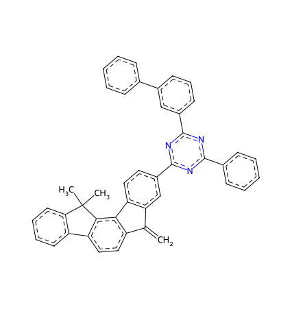 C=C1c2cc(-c3nc(-c4ccccc4)nc(-c4cccc(-c5ccccc5)c4)n3)ccc2-c2c1ccc1c2C(C)(C)c2ccccc2-1